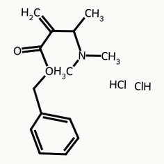 C=C(C(=O)OCc1ccccc1)C(C)N(C)C.Cl.Cl